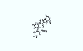 Cc1ccc(F)c2cc(C(=O)Nc3cccc(N4CCOCC4CO)c3)[nH]c12